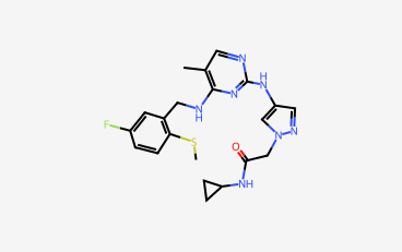 CSc1ccc(F)cc1CNc1nc(Nc2cnn(CC(=O)NC3CC3)c2)ncc1C